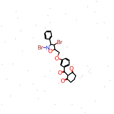 O=C1CCCC(=O)C1C(=O)c1cccc(OCC2ON(Br)C(c3ccccc3)C2Br)c1